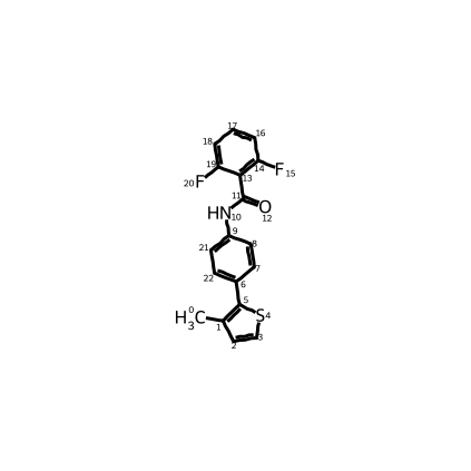 Cc1ccsc1-c1ccc(NC(=O)c2c(F)cccc2F)cc1